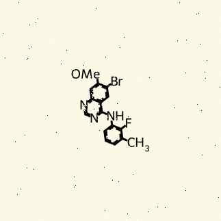 COc1cc2ncnc(Nc3cccc(C)c3F)c2cc1Br